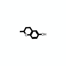 C[C]1CCc2cc(O)ccc2O1